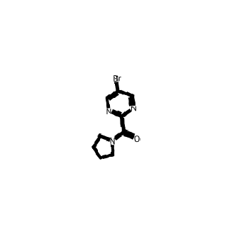 O=C(c1ncc(Br)cn1)N1CCCC1